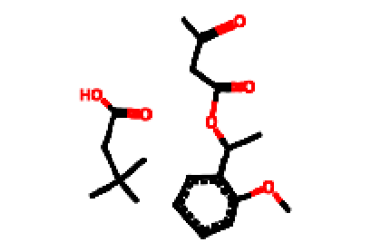 CC(C)(C)CC(=O)O.COc1ccccc1C(C)OC(=O)CC(C)=O